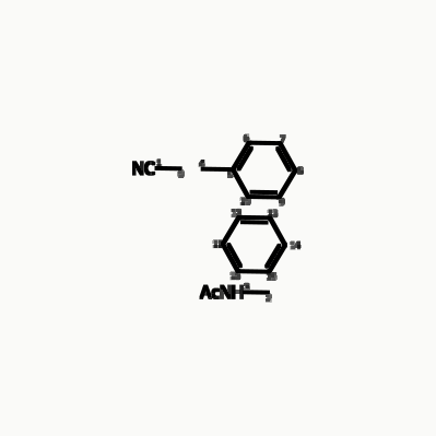 CC#N.CNC(C)=O.Cc1ccccc1.c1ccccc1